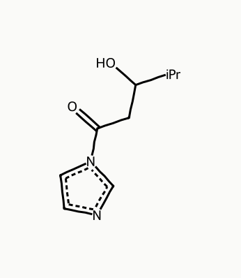 CC(C)C(O)CC(=O)n1ccnc1